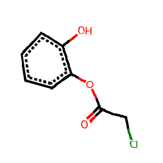 O=C(CCl)Oc1ccccc1O